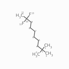 CC(C)(C)CCCCCCC(C)(F)F